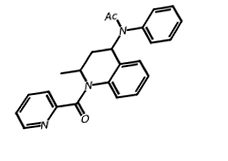 CC(=O)N(c1ccccc1)C1CC(C)N(C(=O)c2ccccn2)c2ccccc21